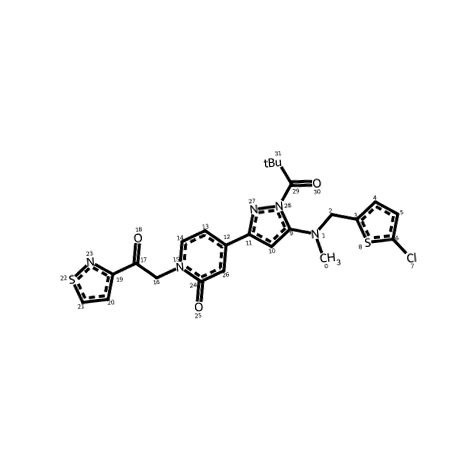 CN(Cc1ccc(Cl)s1)c1cc(-c2ccn(CC(=O)c3ccsn3)c(=O)c2)nn1C(=O)C(C)(C)C